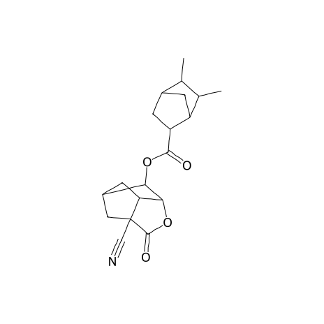 CC1C2CC(C(=O)OC3C4CC5C3OC(=O)C5(C#N)C4)C(C2)C1C